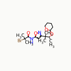 C[C@H](OC1CCCCO1)C(C)(C)c1cc(NC(=O)C(C)(C)Br)on1